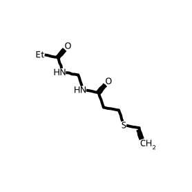 C=CSCCC(=O)NCNC(=O)CC